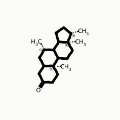 C[C@H]1CC2CC(=O)CC[C@]2(C)C2CC[C@@]3(C)C(CC[C@@H]3C)C21